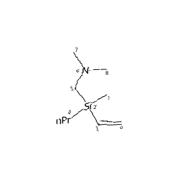 C=C[Si](C)(CCC)CN(C)C